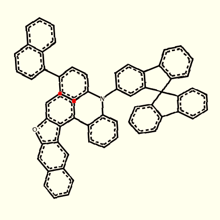 c1ccc(N(c2ccc(-c3cccc4ccccc34)cc2)c2ccc3c(c2)C2(c4ccccc4-c4ccccc42)c2ccccc2-3)c(-c2cccc3oc4cc5ccccc5cc4c23)c1